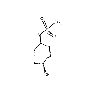 CS(=O)(=O)O[C@H]1CC[C@@H](O)CC1